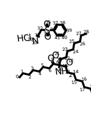 CCCCCCCC(=O)C(N)(C(=O)CCCCCCC)C(=O)CCCCCCC.Cl.N#CCS(=O)(=O)c1ccccc1